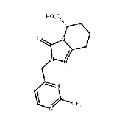 O=C(O)[C@@H]1CCCc2nn(Cc3ccnc(C(F)(F)F)n3)c(=O)n21